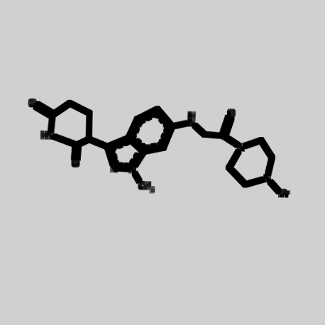 CC(C)N1CCN(C(=O)CNc2ccc3c(C4CCC(=O)NC4=O)nn(C)c3c2)CC1